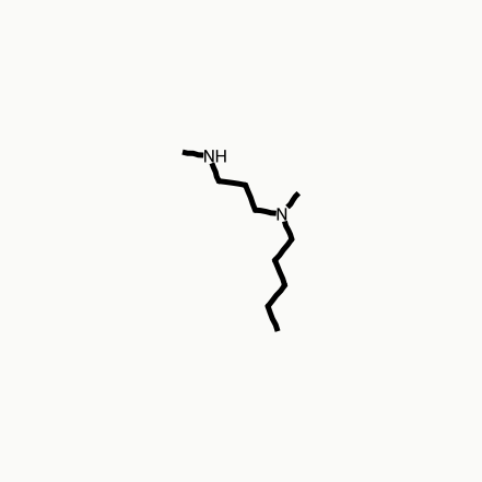 CCCCCN(C)CCCNC